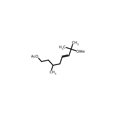 COC(C)(C)C=CCC(C)CCOC(C)=O